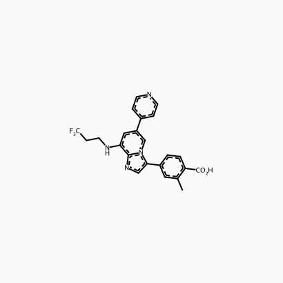 Cc1cc(-c2cnc3c(NCCC(F)(F)F)cc(-c4ccncc4)cn23)ccc1C(=O)O